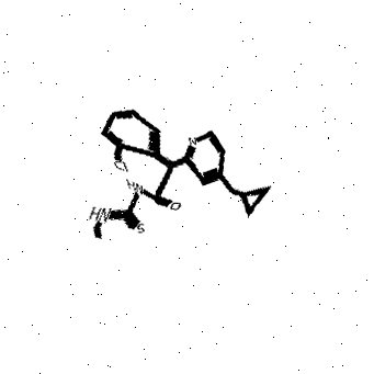 CNC(=S)NC(=O)C(c1cc(C2CC2)ccn1)c1ccccc1Cl